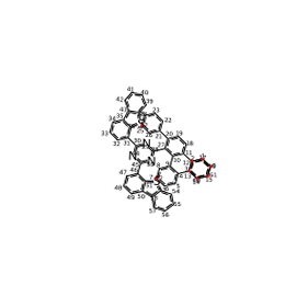 c1ccc(-c2ccccc2-c2c(-c3ccccc3)ccc(-c3ccccc3)c2-c2nc(-c3cccc4c3sc3ccccc34)nc(-c3cccc4c3sc3ccccc34)n2)cc1